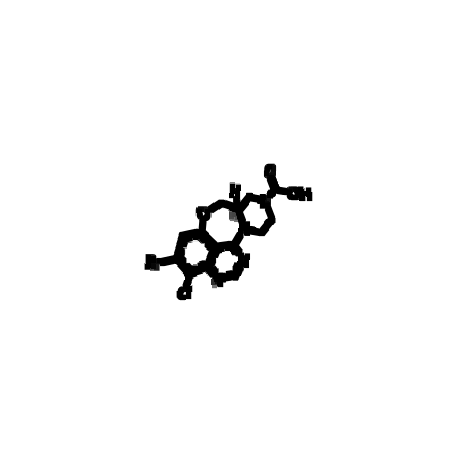 O=C(O)N1CCN2c3ncnc4c(Cl)c(Br)cc(c34)OC[C@@H]2C1